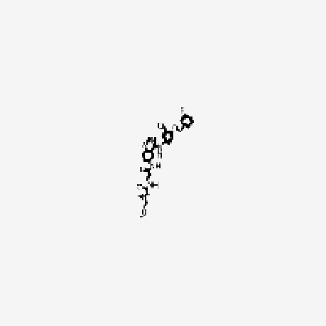 COCCNCC(=O)NCCC(=O)Nc1ccc2ncnc(Nc3ccc(OCc4cccc(F)c4)c(Cl)c3)c2c1